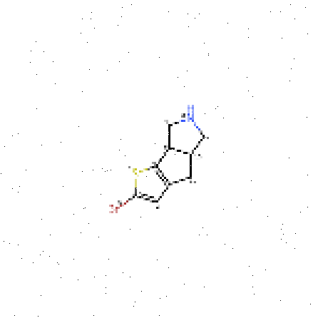 Brc1cc2c(s1)C1CNCC1C2